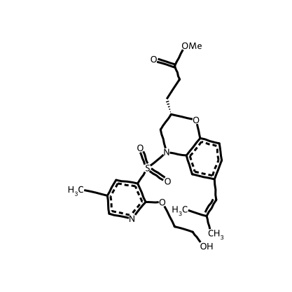 COC(=O)CC[C@H]1CN(S(=O)(=O)c2cc(C)cnc2OCCO)c2cc(C=C(C)C)ccc2O1